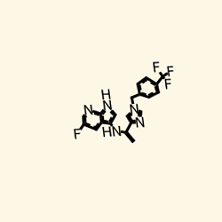 C=C(Nc1c[nH]c2ncc(F)cc12)c1cn(Cc2ccc(C(F)(F)F)cc2)cn1